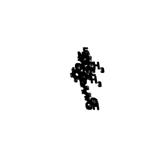 [2H]C(c1ccccc1OCCCCCC(=O)O)N(C(=O)c1ccc(F)nc1)C(C)C